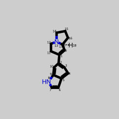 C1=C(c2ccc3cc[nH]c3c2)CCN2CCC[C@@H]12